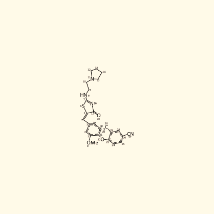 COc1cc(/C=C2/SC(NCCN3CCCC3)=NC2=O)ccc1Oc1ccc(C#N)cc1C(F)(F)F